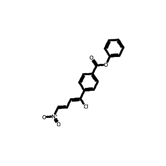 O=C(Oc1ccccc1)c1ccc(C(Cl)=CC=C[N+](=O)[O-])cc1